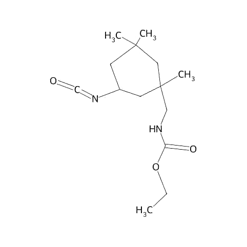 CCOC(=O)NCC1(C)CC(N=C=O)CC(C)(C)C1